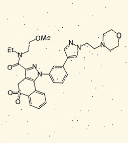 CCN(CCOC)C(=O)c1nn(-c2cccc(-c3cnn(CCN4CCOCC4)c3)c2)c2c1CS(=O)(=O)c1ccccc1-2